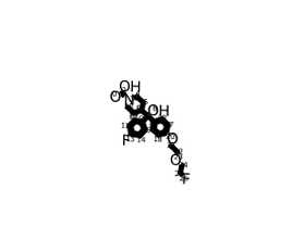 O=C(O)N1CCC(C(O)(c2ccc(F)cc2)c2ccc(OCCOCCF)cc2)CC1